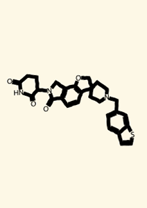 O=C1CCC(N2Cc3c(ccc4c3OCC43CCN(Cc4ccc5ccsc5c4)CC3)C2=O)C(=O)N1